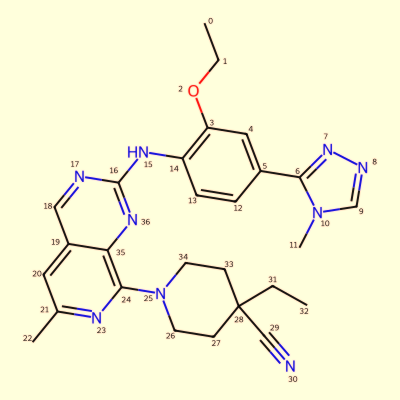 CCOc1cc(-c2nncn2C)ccc1Nc1ncc2cc(C)nc(N3CCC(C#N)(CC)CC3)c2n1